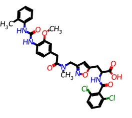 COc1cc(CC(=O)N(C)Cc2cc(CC(NC(=O)c3c(Cl)cccc3Cl)C(=O)O)on2)ccc1NC(=O)Nc1ccccc1C